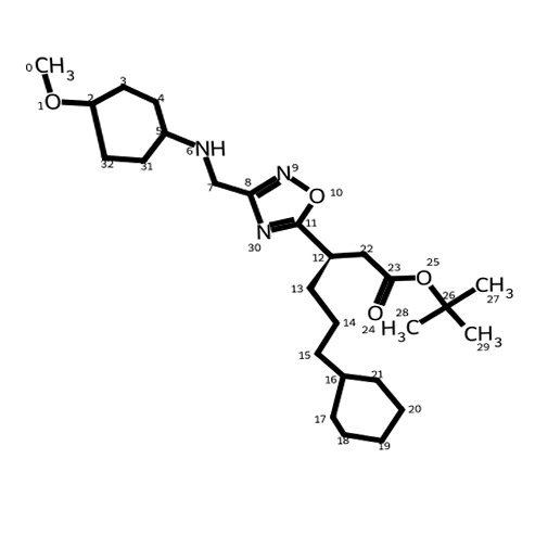 COC1CCC(NCc2noc([C@H](CCCC3CCCCC3)CC(=O)OC(C)(C)C)n2)CC1